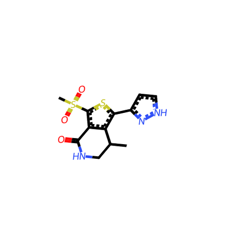 CC1CNC(=O)c2c(S(C)(=O)=O)sc(-c3cc[nH]n3)c21